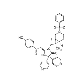 C[C@@]1(CN2C(=O)C(c3ccncc3)(c3ccncc3)NC2=CC(=O)c2ccc(C#N)cc2)[C@@H]2CCN(S(=O)(=O)c3ccccc3)C[C@@H]21